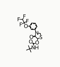 CC(C)(C)NC(=O)OC1SCN(c2cccc(OC(F)(F)C(F)F)c2)C1=O